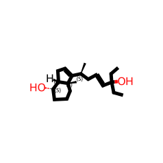 CCC(O)(C=CC[C@H](C)C1=CC[C@H]2[C@@H](O)CCC[C@@]12C)CC